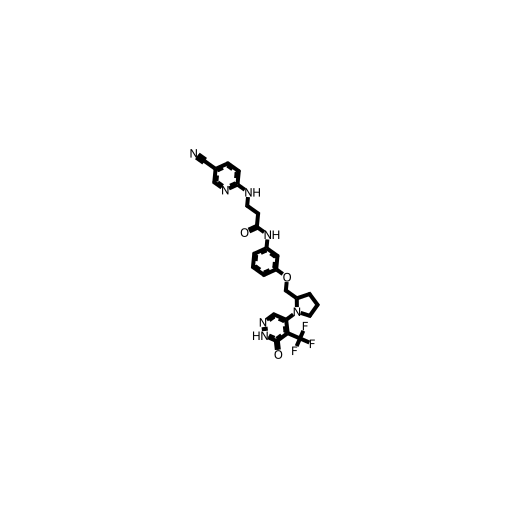 N#Cc1ccc(NCCC(=O)Nc2cccc(OCC3CCCN3c3cn[nH]c(=O)c3C(F)(F)F)c2)nc1